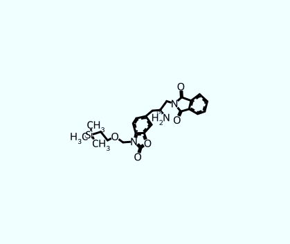 C[Si](C)(C)CCOCn1c(=O)oc2cc(C[C@H](N)CN3C(=O)c4ccccc4C3=O)ccc21